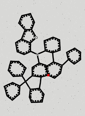 c1ccc(-c2ccccc2-c2ccccc2N(c2ccc3c(c2)C(c2ccccc2)(c2ccccc2)c2ccccc2-3)c2cccc3c2oc2ccccc23)cc1